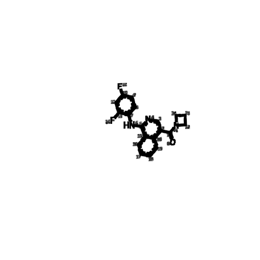 O=C(c1cnc(Nc2ccc(F)cc2F)c2ccccc12)N1CCC1